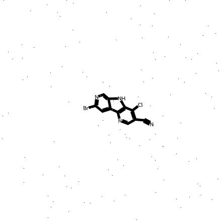 N#Cc1cnc2c([nH]c3cnc(Br)cc32)c1Cl